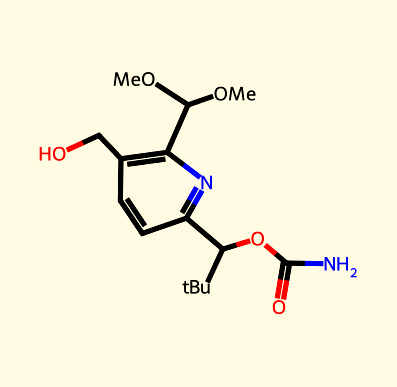 COC(OC)c1nc(C(OC(N)=O)C(C)(C)C)ccc1CO